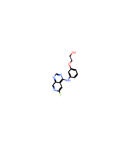 OCCOc1cccc(Nc2ncnc3cnc(F)cc23)c1